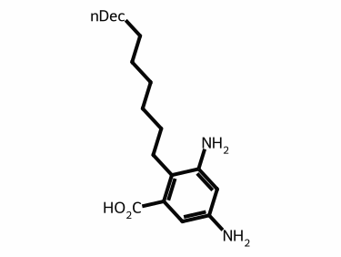 CCCCCCCCCCCCCCCCc1c(N)cc(N)cc1C(=O)O